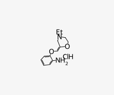 CCN1CCOC(=COc2ccccc2N)C1.Cl